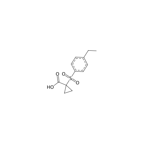 CCc1ccc(S(=O)(=O)C2(C(=O)O)CC2)cc1